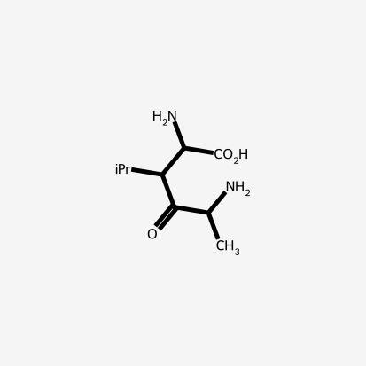 CC(N)C(=O)C(C(C)C)C(N)C(=O)O